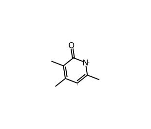 CC1=[C]C(C)=C(C)C(=O)[N]1